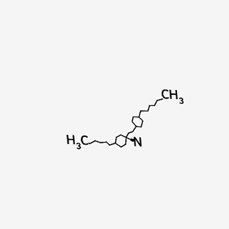 CCCCCCCC1CCC(CCC2(C#N)CCC(CCCCCC)CC2)CC1